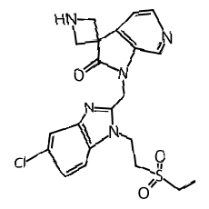 CCS(=O)(=O)CCn1c(CN2C(=O)C3(CNC3)c3ccncc32)nc2cc(Cl)ccc21